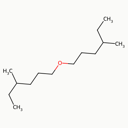 CCC(C)CCCOCCCC(C)CC